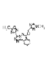 Cc1nc(-c2nnc3c4ccccc4c(OCc4ncn(C)n4)nn23)no1